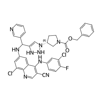 N#Cc1cnc2c(Cl)cc(NC(C3=CN([C@@H]4CCN(C(=O)OCc5ccccc5)C4)NN3)c3cccnc3)cc2c1Nc1ccc(F)c(Cl)c1